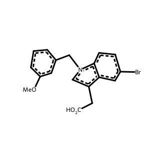 COc1cccc(Cn2cc(CC(=O)O)c3cc(Br)ccc32)c1